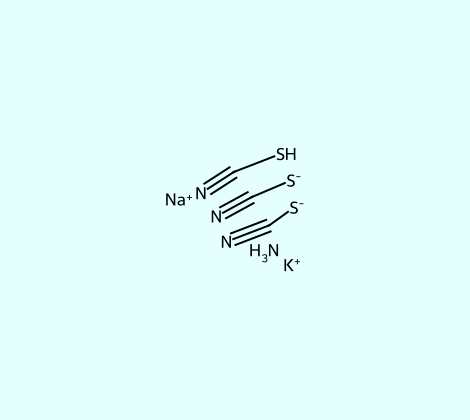 N.N#CS.N#C[S-].N#C[S-].[K+].[Na+]